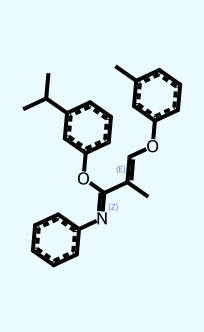 CC(=C\Oc1cccc(C)c1)/C(=N/c1ccccc1)Oc1cccc(C(C)C)c1